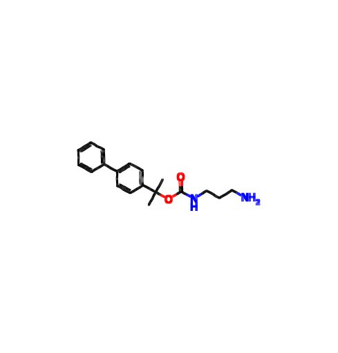 CC(C)(OC(=O)NCCCN)c1ccc(-c2ccccc2)cc1